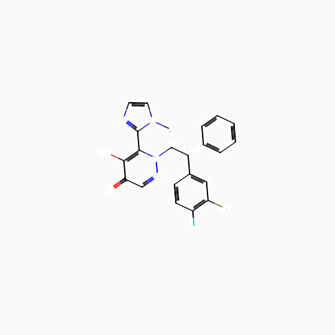 O=c1cnn2c(c1O)-c1nccn1C[C@@H]2[C@H](c1ccccc1)c1ccc(F)c(Br)c1